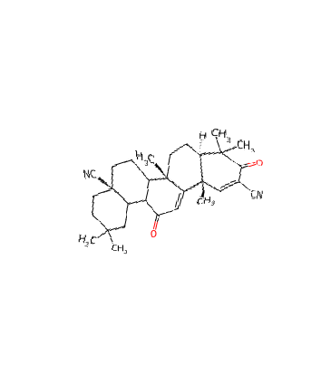 CC1(C)CC[C@]2(C#N)CCC3C(C(=O)C=C4[C@@]3(C)CC[C@H]3C(C)(C)C(=O)C(C#N)=C[C@]43C)C2C1